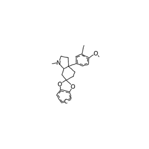 COc1ccc(C23CCN(C)C2CC2(CC3)Oc3ccccc3O2)cc1C